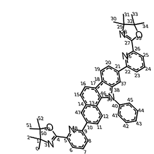 CC1(C)N=C(c2cccc(-c3ccc4c(ccc5c6ccc(-c7cccc(C8=NC(C)(C)C(C)(C)O8)n7)cc6n(-c6ccccc6)c45)c3)n2)OC1(C)C